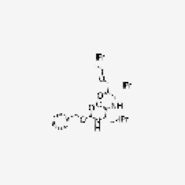 CC(C)CCOCC(=O)[C@H](CC(C)C)NC(=O)[C@H](CC(C)C)NC(=O)OCc1ccccc1